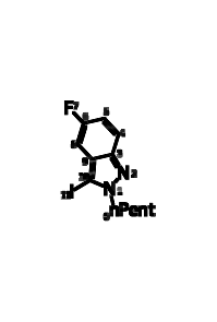 CCCCCn1nc2ccc(F)cc2c1I